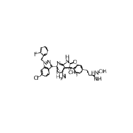 C[C@@]1(c2ccc(CCC(=N)NO)cc2)C(=O)Nc2nc(-c3nn(Cc4ccccc4F)c4cc(Cl)ccc34)nc(N)c21